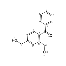 O=C(c1ccccc1)c1ccc(CO)cc1CO